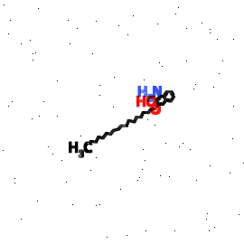 CCCCCCCCCCCCCCCCCCOc1cc2ccccc2c(N)c1O